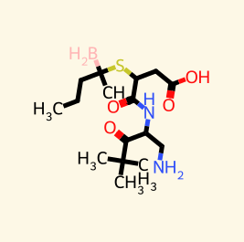 BC(C)(CCC)SC(CC(=O)O)C(=O)NC(CN)C(=O)C(C)(C)C